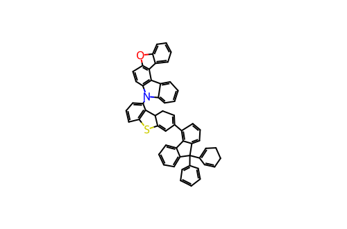 C1=CC(C2(c3ccccc3)c3ccccc3-c3c(C4=CCC5C(=C4)Sc4cccc(-n6c7ccccc7c7c8c(ccc76)oc6ccccc68)c45)cccc32)=CCC1